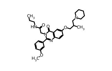 CCCNC(=O)Cn1c(-c2cccc(OC)c2)nc2ccc(OCC(C)CN3CCCCC3)cc2c1=O